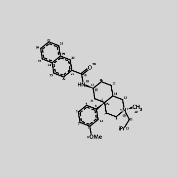 COc1cccc([C@]23CC[N@@+](C)(CC(C)C)CC2CC[C@H](NC(=O)c2ccc4ccccc4c2)C3)c1